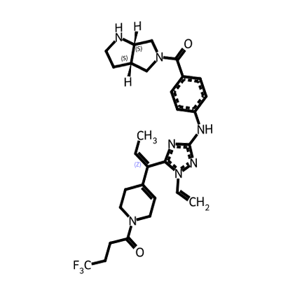 C=Cn1nc(Nc2ccc(C(=O)N3C[C@@H]4CCN[C@@H]4C3)cc2)nc1/C(=C\C)C1=CCN(C(=O)CCC(F)(F)F)CC1